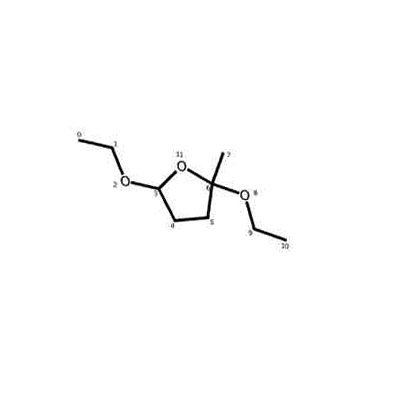 CCOC1CCC(C)(OCC)O1